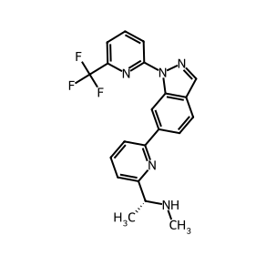 CN[C@H](C)c1cccc(-c2ccc3cnn(-c4cccc(C(F)(F)F)n4)c3c2)n1